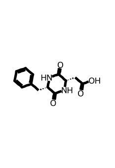 O=C(O)C[C@@H]1NC(=O)[C@H](Cc2ccccc2)NC1=O